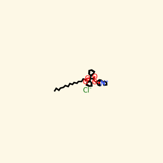 CCCCCCCCCCCCCCC(=O)OC(C(=O)OC1CC2CCC(C1)[N+]21CCCC1)(c1ccccc1)c1ccccc1.[Cl-]